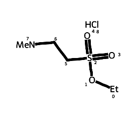 CCOS(=O)(=O)CCNC.Cl